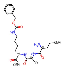 CSCC[C@H](N)C(=O)N[C@H](C(=O)N[C@@H](CCCCNC(=O)OCc1ccccc1)C(=O)OCC(C)C)C(C)C